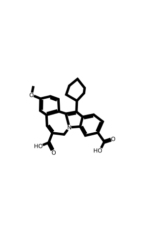 COc1ccc2c(c1)C=C(C(=O)O)Cn1c-2c(C2CCCCC2)c2ccc(C(=O)O)cc21